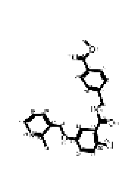 COC(=O)c1ccc(CNC(=O)c2cc(OCc3cccnc3C)ccc2Cl)cc1